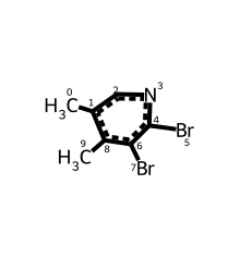 Cc1cnc(Br)c(Br)c1C